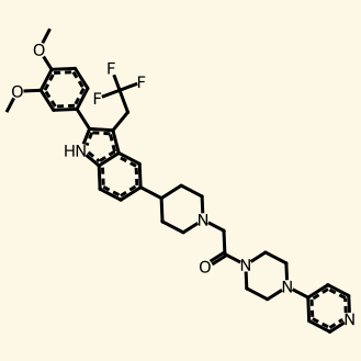 COc1ccc(-c2[nH]c3ccc(C4CCN(CC(=O)N5CCN(c6ccncc6)CC5)CC4)cc3c2CC(F)(F)F)cc1OC